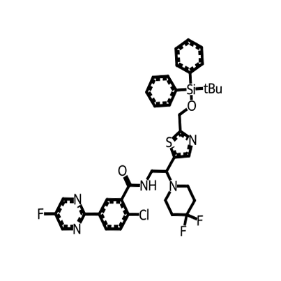 CC(C)(C)[Si](OCc1ncc(C(CNC(=O)c2cc(-c3ncc(F)cn3)ccc2Cl)N2CCC(F)(F)CC2)s1)(c1ccccc1)c1ccccc1